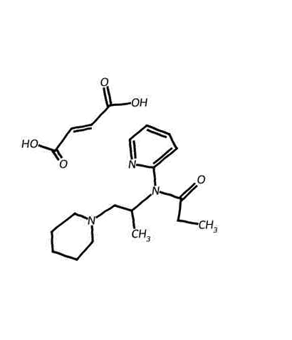 CCC(=O)N(c1ccccn1)C(C)CN1CCCCC1.O=C(O)/C=C/C(=O)O